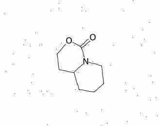 O=C1OCCC2CCCCN12